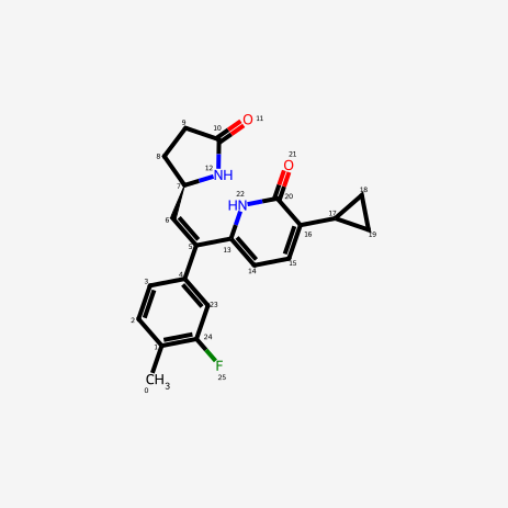 Cc1ccc(/C(=C/[C@H]2CCC(=O)N2)c2ccc(C3CC3)c(=O)[nH]2)cc1F